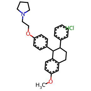 COc1ccc2c(c1)CCC(c1ccccc1)C2c1ccc(OCCN2CCCC2)cc1.Cl